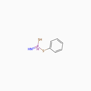 N=[PH](S)Sc1ccccc1